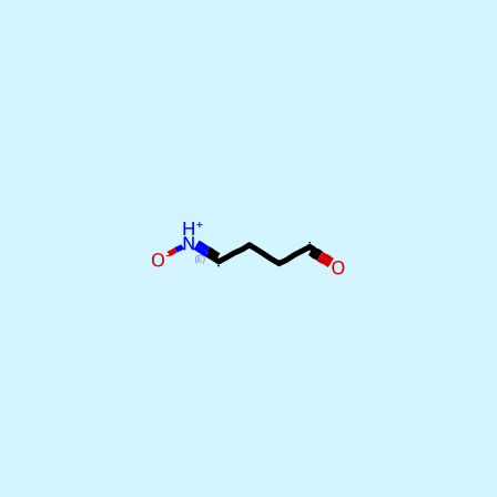 O=[C]CC/[C]=[NH+]/[O-]